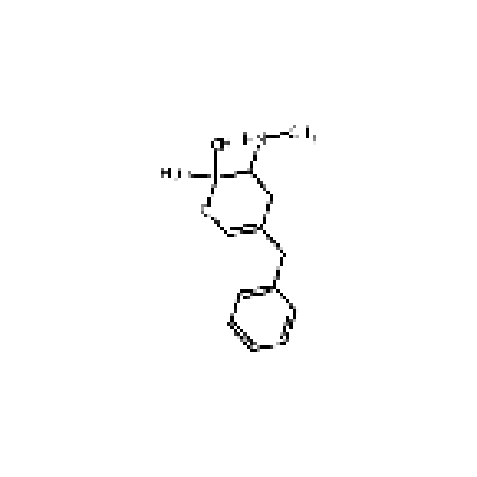 CNC1CC(Cc2ccccc2)=COC1(C)C